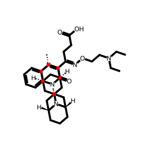 CCN(CC)CCO/N=C(\CCC(=O)O)c1nc2ccccc2n([C@H]2C[C@H]3CCC[C@@H](C2)N3C2C[C@@H]3C[C@@H](C)C[C@H](C2)C3)c1=O